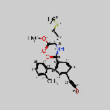 COC(=O)[C@H](CCSC)NC(=O)c1ccc(C#CBr)cc1-c1ccccc1C